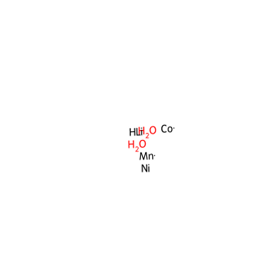 O.O.[Co].[LiH].[Mn].[Ni]